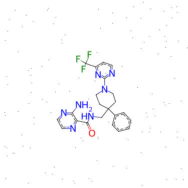 Nc1nccnc1C(=O)NCC1(c2ccccc2)CCN(c2nccc(C(F)(F)F)n2)CC1